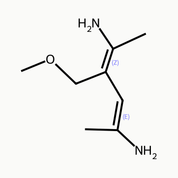 COCC(/C=C(\C)N)=C(/C)N